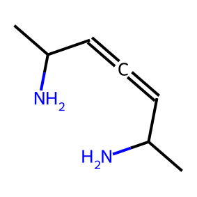 CC(N)C=C=CC(C)N